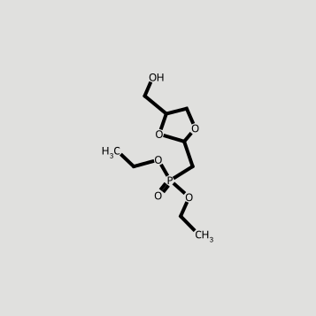 CCOP(=O)(CC1OCC(CO)O1)OCC